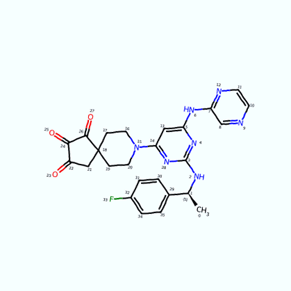 C[C@H](Nc1nc(Nc2cnccn2)cc(N2CCC3(CC2)CC(=O)C(=O)C3=O)n1)c1ccc(F)cc1